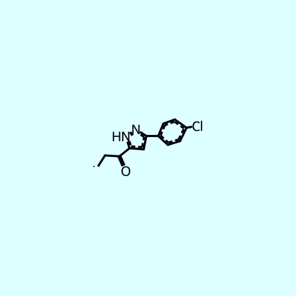 [CH2]CC(=O)c1cc(-c2ccc(Cl)cc2)n[nH]1